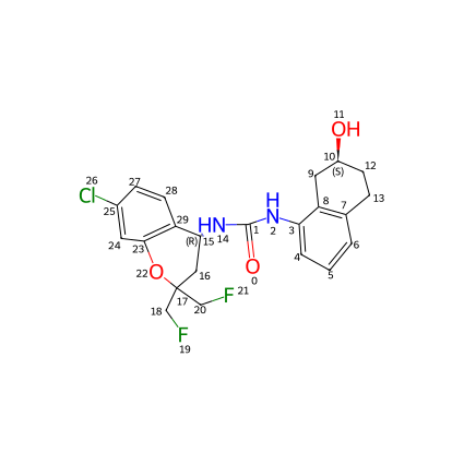 O=C(Nc1cccc2c1C[C@@H](O)CC2)N[C@@H]1CC(CF)(CF)Oc2cc(Cl)ccc21